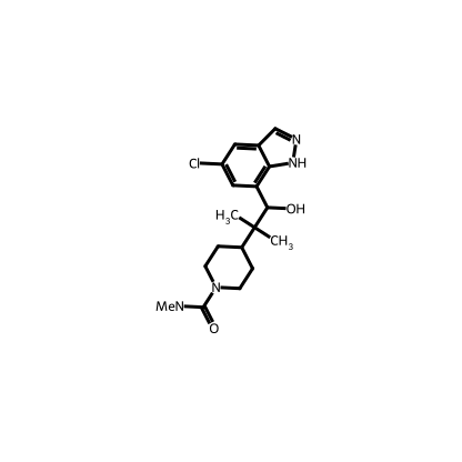 CNC(=O)N1CCC(C(C)(C)C(O)c2cc(Cl)cc3cn[nH]c23)CC1